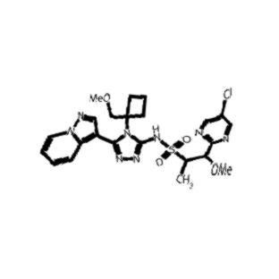 COCC1(n2c(NS(=O)(=O)C(C)C(OC)c3ncc(Cl)cn3)nnc2-c2cnn3ccccc23)CCC1